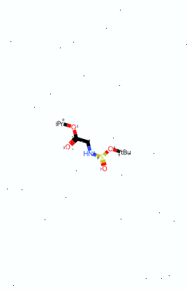 CC(C)OC(=O)CNS(=O)OC(C)(C)C